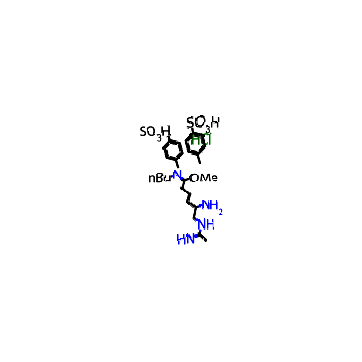 CCCCN=C(CCCC(N)CNC(C)=N)OC.Cc1ccc(S(=O)(=O)O)cc1.Cc1ccc(S(=O)(=O)O)cc1.Cl